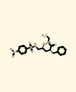 CCNC(=O)[C@@H](Cc1ccccc1)C[C@H](O)CNS(=O)(=O)c1ccc([N+](=O)[O-])cc1